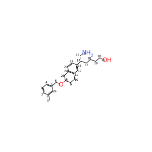 Cc1cccc(CO[C@@H]2CCc3cc([C@H](CN)CCCCO)ccc3C2)c1